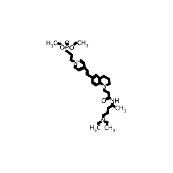 CCOP(=O)(CCC[n+]1ccc(C=Cc2ccc3c(c2)CCCN3CCC(=O)NC(C)CCCN(CC)CC)cc1)OCC